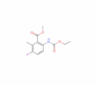 CCOC(=O)Nc1ccc(I)c(C)c1C(=O)OC